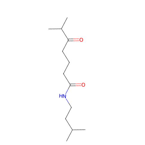 CC(C)CCNC(=O)CCCC(=O)C(C)C